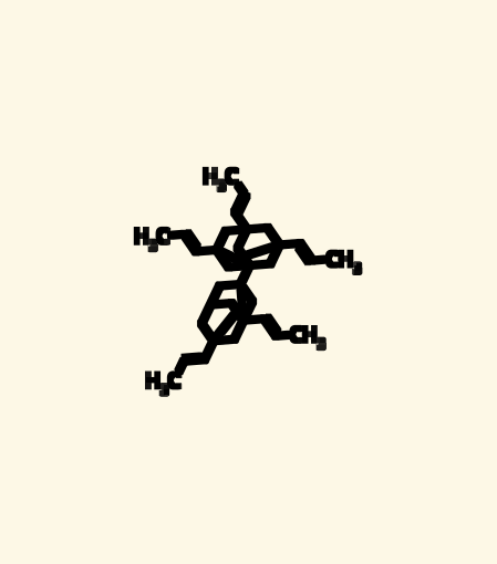 CC=CC12CC3CC(C=CC)(C1)CC(C14CC5(C=CC)CC(C=CC)(CC(C=CC)(C5)C1)C4)(C3)C2